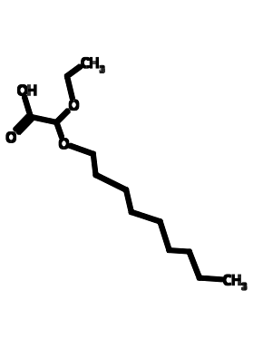 CCCCCCCCCOC(OCC)C(=O)O